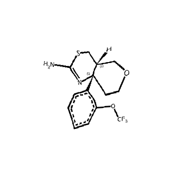 NC1=N[C@@]2(c3ccccc3OC(F)(F)F)CCOC[C@H]2CS1